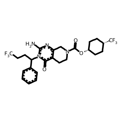 Nc1nc2c(c(=O)n1C(CCC(F)(F)F)c1ccccc1)CCN(C(=O)O[C@H]1CC[C@@H](C(F)(F)F)CC1)C2